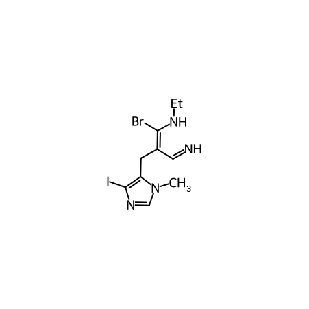 CCN/C(Br)=C(\C=N)Cc1c(I)ncn1C